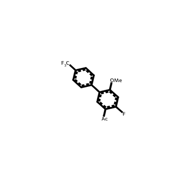 COc1cc(F)c(C(C)=O)cc1-c1ccc(C(F)(F)F)cc1